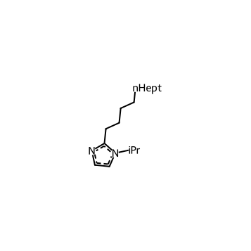 CCCCCCCCCCCc1nccn1C(C)C